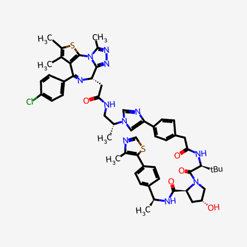 Cc1ncsc1-c1ccc([C@H](C)NC(=O)[C@@H]2C[C@@H](O)CN2C(=O)[C@@H](NC(=O)Cc2ccc(-c3cn([C@H](C)CNC(=O)C[C@@H]4N=C(c5ccc(Cl)cc5)c5c(sc(C)c5C)-n5c(C)nnc54)cn3)cc2)C(C)(C)C)cc1